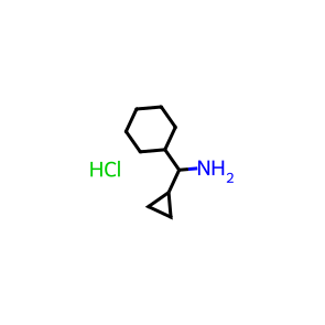 Cl.NC(C1CCCCC1)C1CC1